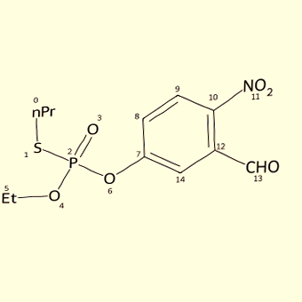 CCCSP(=O)(OCC)Oc1ccc([N+](=O)[O-])c(C=O)c1